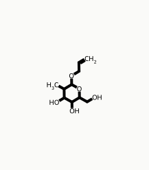 C=CCOC1OC(CO)C(O)C(O)C1C